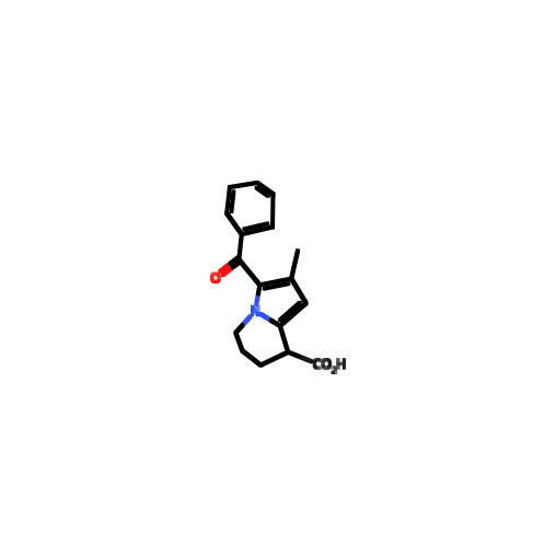 Cc1cc2n(c1C(=O)c1ccccc1)CCCC2C(=O)O